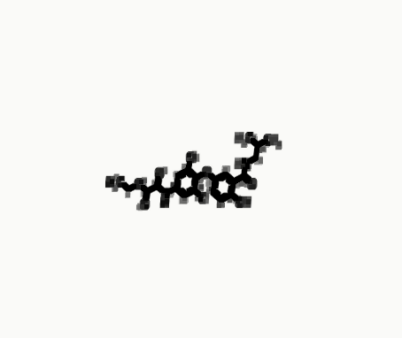 CCOC(=O)C(=O)Nc1cc(Cl)c(Oc2ccc(O)c(C(=O)NCC(C)C)c2)c(Cl)c1